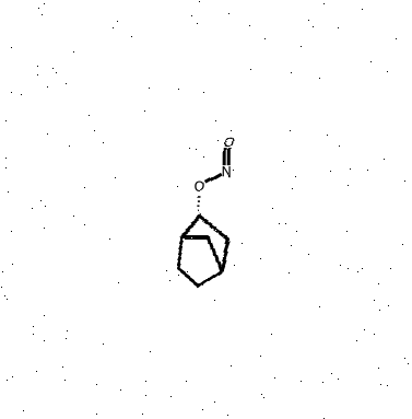 O=NO[C@@H]1CC2CCC1C2